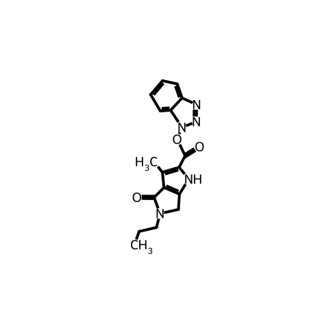 CCCN1Cc2[nH]c(C(=O)On3nnc4ccccc43)c(C)c2C1=O